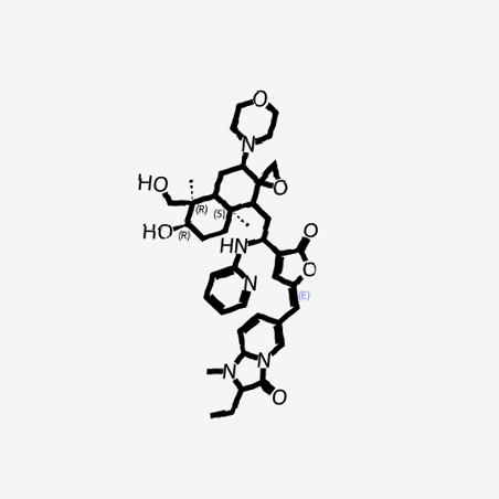 CCC1C(=O)N2C=C(/C=C3\C=C(C(CC4C5(CO5)C(N5CCOCC5)CC5[C@]4(C)CC[C@@H](O)[C@@]5(C)CO)Nc4ccccn4)C(=O)O3)C=CC2N1C